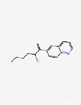 C=C(c1ccc2ncccc2c1)C(Cl)CCCC